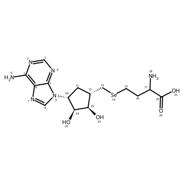 Nc1ncnc2c1ncn2[C@@H]1C[C@H](C[Se]CCC(N)C(=O)O)[C@@H](O)[C@H]1O